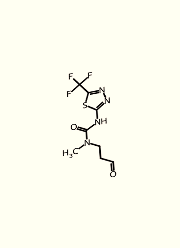 CN(CCC=O)C(=O)Nc1nnc(C(F)(F)F)s1